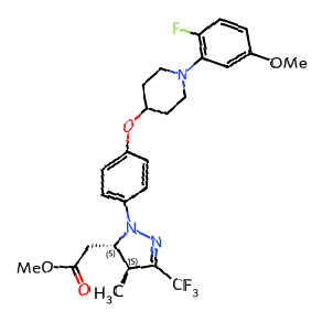 COC(=O)C[C@H]1[C@H](C)C(C(F)(F)F)=NN1c1ccc(OC2CCN(c3cc(OC)ccc3F)CC2)cc1